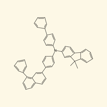 CC1(C)c2ccccc2-c2ccc(N(c3ccc(-c4ccccc4)cc3)c3ccc(-c4ccc5cccc(-c6ccccc6)c5c4)cc3)cc21